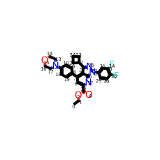 CCOC(=O)c1cc(-c2ccc(N3CCOCC3)cc2)c2c(C3CCC3)nn(-c3ccc(F)c(F)c3)c2n1